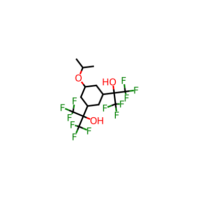 CC(C)OC1CC(C(O)(C(F)(F)F)C(F)(F)F)CC(C(O)(C(F)(F)F)C(F)(F)F)C1